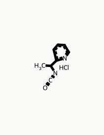 CC(N=C=O)c1ccccn1.Cl